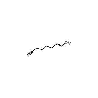 [CH2]C=CCCCCC#N